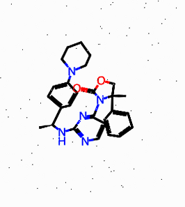 C[C@H](Nc1nccc(N2C(=O)OCC2(C)c2ccccc2)n1)c1ccc(N2CCCCC2)cc1